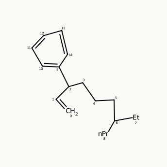 C=CC(CCCC(CC)CCC)c1ccccc1